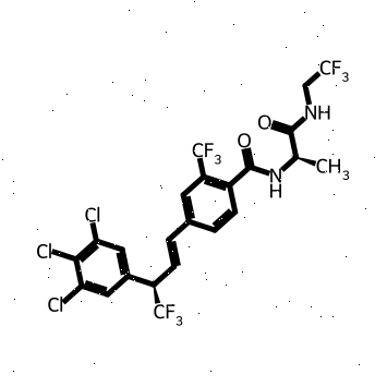 C[C@@H](NC(=O)c1ccc(/C=C/[C@H](c2cc(Cl)c(Cl)c(Cl)c2)C(F)(F)F)cc1C(F)(F)F)C(=O)NCC(F)(F)F